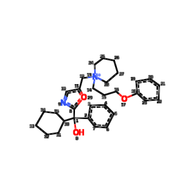 OC(c1ccccc1)(c1ncc(C[N+]2(CCCOc3ccccc3)CCCCC2)o1)C1CCCCC1